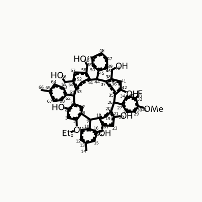 CCOc1cc(O)c2cc1C(c1ccc(C)cc1C)c1cc(c(O)cc1O)C(c1ccc(OC)c(F)c1)c1cc(c(CO)cc1O)C(c1ccccc1)c1cc(c(CO)cc1CO)C2c1ccc(C)cc1